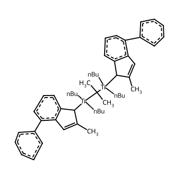 CCC[CH2][Ti]([CH2]CCC)([CH]1C(C)=Cc2c(-c3ccccc3)cccc21)[C](C)(C)[Ti]([CH2]CCC)([CH2]CCC)[CH]1C(C)=Cc2c(-c3ccccc3)cccc21